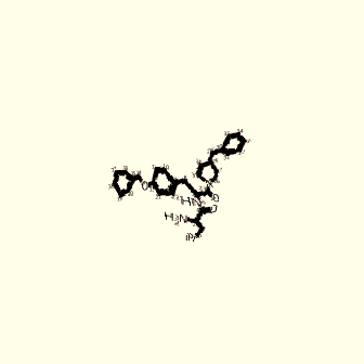 CC(C)CC(N)C(=O)NC(Cc1ccc(OCc2ccccc2)cc1)C(=O)N1CCC(Cc2ccccc2)CC1